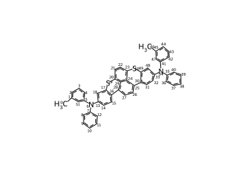 Cc1cccc(N(c2ccccc2)c2ccc3c(c2)Sc2ccc4c5c(ccc-3c25)-c2ccc(N(c3ccccc3)c3cccc(C)c3)cc2S4)c1